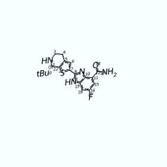 CC(C)(C)[C@@H]1NCCc2cc(-c3nc4c(C(N)=O)cc(F)cc4[nH]3)sc21